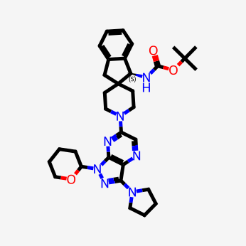 CC(C)(C)OC(=O)N[C@@H]1c2ccccc2CC12CCN(c1cnc3c(N4CCCC4)nn(C4CCCCO4)c3n1)CC2